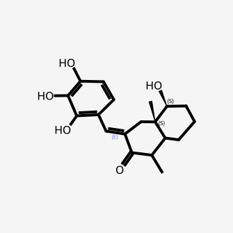 CC1C(=O)/C(=C/c2ccc(O)c(O)c2O)C[C@@]2(C)C1CCC[C@@H]2O